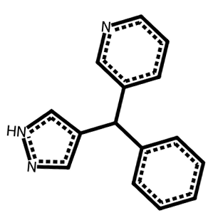 c1ccc(C(c2cccnc2)c2cn[nH]c2)cc1